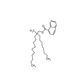 CCCCCCCCCCC(C)(CCCCCCCC)COC(=O)c1cccc2ccccc12